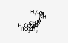 Cc1ccnc(NCc2ccn(-c3ccc(CC(Nc4c(C)cc(C)cc4C)C(=O)O)cc3)c2)c1